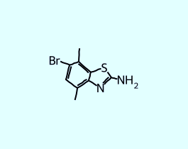 Cc1cc(Br)c(C)c2sc(N)nc12